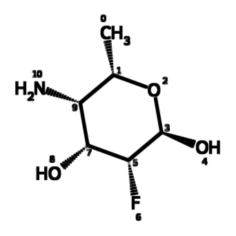 C[C@@H]1O[C@@H](O)[C@H](F)[C@H](O)[C@@H]1N